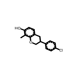 Cc1c(O)ccc2c1OCC(c1ccc(Cl)cc1)C2